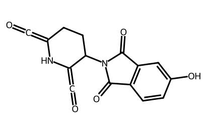 O=C=C1CCC(N2C(=O)c3ccc(O)cc3C2=O)C(=C=O)N1